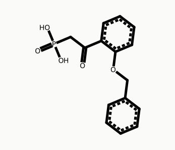 O=C(CP(=O)(O)O)c1ccccc1OCc1ccccc1